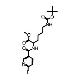 COC(=O)C(CCCCNC(=O)OC(C)(C)C)NC(=O)c1ccc(F)nc1